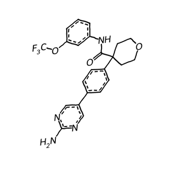 Nc1ncc(-c2ccc(C3(C(=O)Nc4cccc(OC(F)(F)F)c4)CCOCC3)cc2)cn1